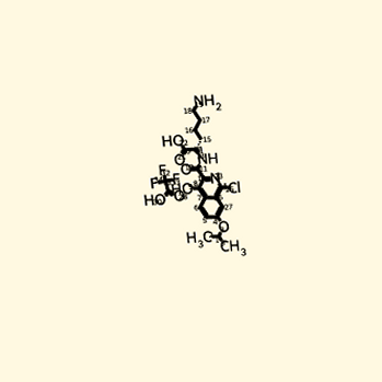 CC(C)Oc1ccc2c(O)c(C(=O)N[C@@H](CCCCN)C(=O)O)nc(Cl)c2c1.O=C(O)C(F)(F)F